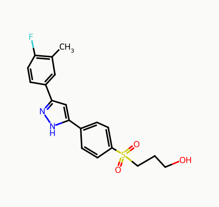 Cc1cc(-c2cc(-c3ccc(S(=O)(=O)CCCO)cc3)[nH]n2)ccc1F